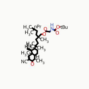 CCCC(C)(C)CC[C@@](C)(CCC(C)(C)[C@]1(C)CC[C@H]2[C@H](C)C(=O)C(C#N)=C[C@]2(C)/C1=C/C(C)=O)COC(=O)CNC(=O)OC(C)(C)C